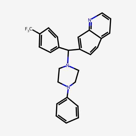 FC(F)(F)c1ccc(C(c2ccc3cccnc3c2)N2CCN(c3ccccc3)CC2)cc1